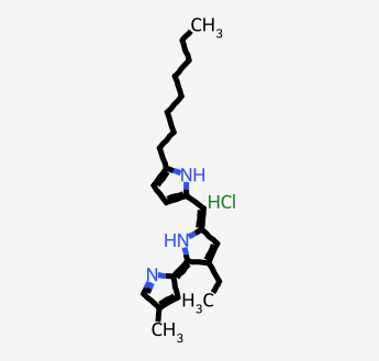 CCCCCCCCc1ccc(C=c2cc(CC)c(=C3C=C(C)C=N3)[nH]2)[nH]1.Cl